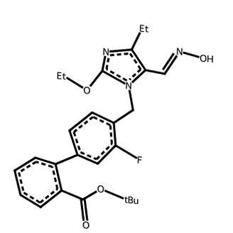 CCOc1nc(CC)c(C=NO)n1Cc1ccc(-c2ccccc2C(=O)OC(C)(C)C)cc1F